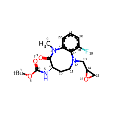 CN1C(=O)[C@@H](NC(=O)OC(C)(C)C)CCN(CC2CO2)c2c(F)cccc21